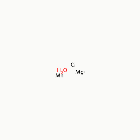 O.[C].[Mg].[Mn]